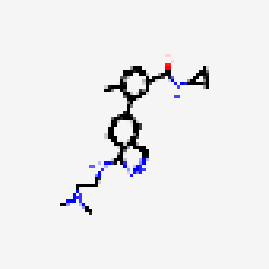 Cc1ccc(C(=O)NC2CC2)cc1-c1ccc2c(NCCN(C)C)nncc2c1